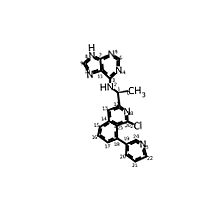 C[C@H](Nc1ncnc2[nH]cnc12)c1cc2cccc(-c3cccnc3)c2c(Cl)n1